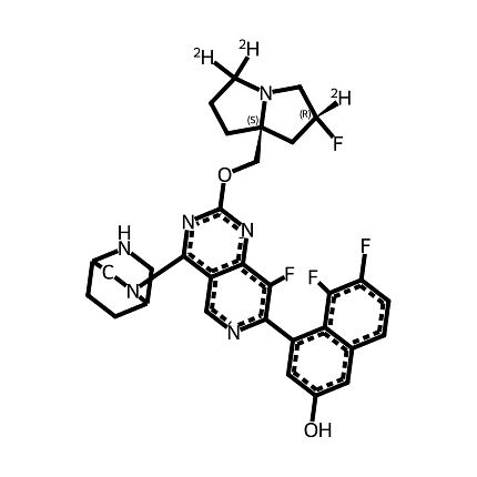 [2H]C1([2H])CC[C@@]2(COc3nc(N4CC5CCC4CN5)c4cnc(-c5cc(O)cc6ccc(F)c(F)c56)c(F)c4n3)C[C@@]([2H])(F)CN12